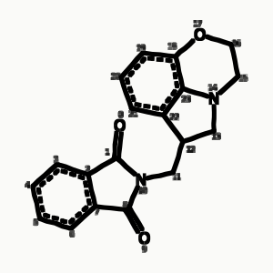 O=C1c2ccccc2C(=O)N1CC1CN2CCOc3cccc1c32